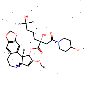 COC1=C[C@]23CCCN2CCc2cc4c(cc2[C@@H]3[C@@H]1OC(=O)[C@@](O)(CCCC(C)(C)O)CC(=O)N1CCC(O)CC1)OCO4